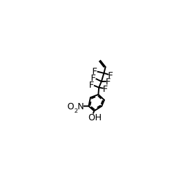 C=CC(F)(F)C(F)(F)C(F)(F)c1ccc(O)c([N+](=O)[O-])c1